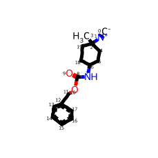 [C-]#[N+]C1(C)CCC(NC(=O)OCc2ccccc2)CC1